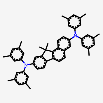 Cc1cc(C)cc(N(c2cc(C)cc(C)c2)c2ccc3c(c2)C(C)(C)c2c-3ccc3cc(N(c4cc(C)cc(C)c4)c4cc(C)cc(C)c4)ccc23)c1